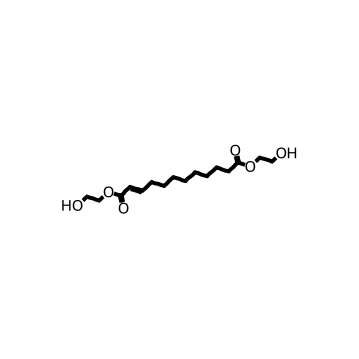 O=C(/C=C/CCCCCCCCC(=O)OCCO)OCCO